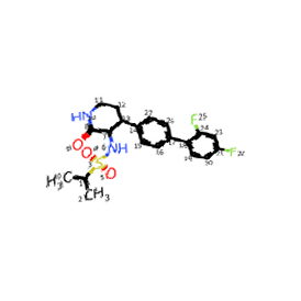 CC(C)S(=O)(=O)NC1C(=O)NCCC1c1ccc(-c2ccc(F)cc2F)cc1